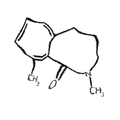 Cc1cccc2c1C(=O)N(C)CCC2